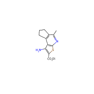 CCOC(=O)c1sc2nc(C)c3c(c2c1N)CCC3